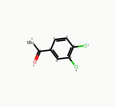 CC(C)(C)C(=O)c1ccc(Cl)c(Cl)c1